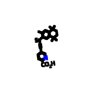 Cc1cc2c(cc1[Se]C#Cc1ccc(C(=O)O)nc1)C(C)(C)CCC2(C)C